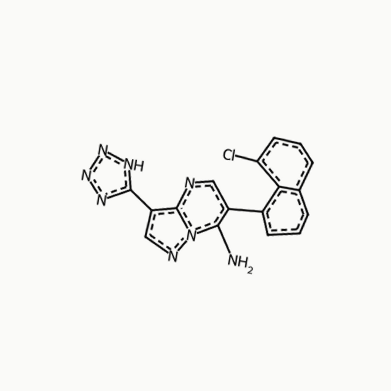 Nc1c(-c2cccc3cccc(Cl)c23)cnc2c(-c3nnn[nH]3)cnn12